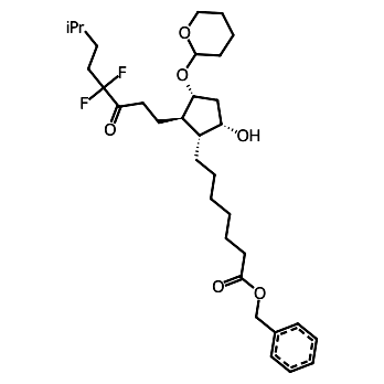 CC(C)CCC(F)(F)C(=O)CC[C@@H]1[C@@H](CCCCCCC(=O)OCc2ccccc2)[C@@H](O)C[C@H]1OC1CCCCO1